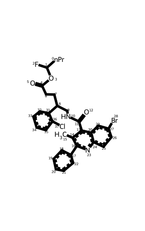 CCCC(F)OC(=O)CCC(CNC(=O)c1c(C)c(-c2ccccc2)nc2ccc(Br)cc12)c1ccccc1Cl